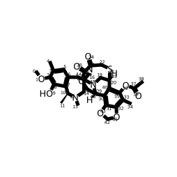 COc1c(C)cc2c(c1O)[C@H](C)N(C)CC(C#N)(N1C[C@@H]3SCC(=O)C(=O)OC[C@H]1c1c4c(c(C)c(OC(C)=O)c13)OCO4)C2